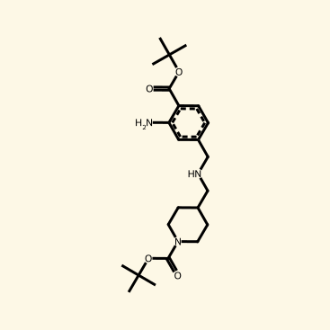 CC(C)(C)OC(=O)c1ccc(CNCC2CCN(C(=O)OC(C)(C)C)CC2)cc1N